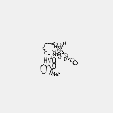 CNC(=O)[C@@H](NC(=O)[C@@H]1CCCCC/C=C\C2CC2(C(=O)O)NC(=O)N2C[C@@H](OC(=O)N3CCc4ccccc4C3)C[C@@H]2C(=O)N1)C1CCCCC1